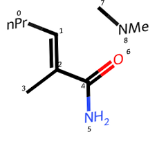 CCC/C=C(\C)C(N)=O.CNC